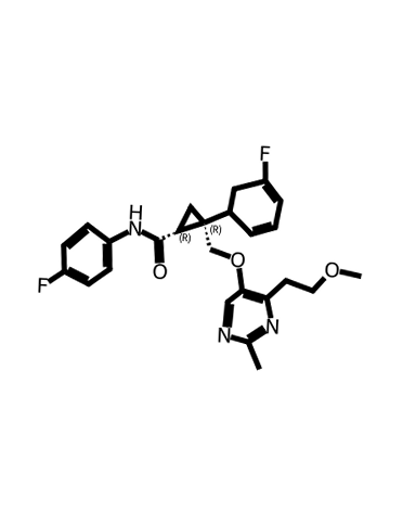 COCCc1nc(C)ncc1OC[C@@]1(C2C=CC=C(F)C2)C[C@H]1C(=O)Nc1ccc(F)cc1